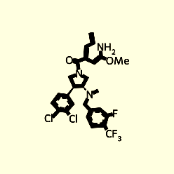 C=C/C=C(\C=C(/N)OC)C(=O)N1C[C@H](c2ccc(Cl)c(Cl)c2)[C@@H](N(C)Cc2ccc(C(F)(F)F)c(F)c2)C1